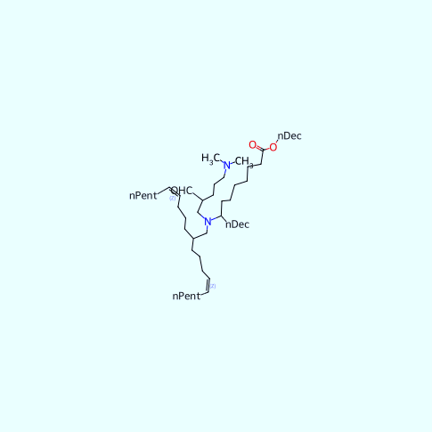 CCCCC/C=C\CCCC(CCC/C=C\CCCCC)CN(CC(C=O)CCCN(C)C)C(CCCCCCCCCC)CCCCCCC(=O)OCCCCCCCCCC